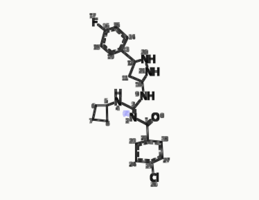 O=C(/N=C(/NC1CCC1)NC1CC(c2ccc(F)cc2)NN1)c1ccc(Cl)cc1